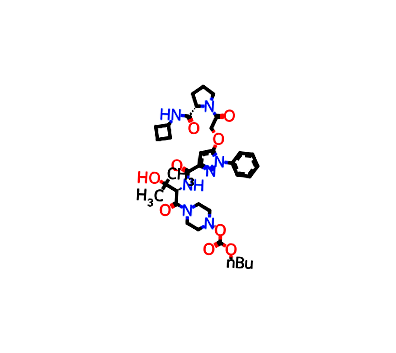 CCCCOC(=O)ON1CCN(C(=O)[C@@H](NC(=O)c2cc(OCC(=O)N3CCC[C@H]3C(=O)NC3CCC3)n(-c3ccccc3)n2)C(C)(C)O)CC1